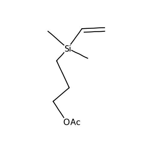 C=C[Si](C)(C)CCCOC(C)=O